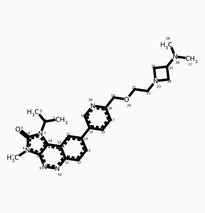 CC(C)n1c(=O)n(C)c2nnc3ccc(-c4ccc(COCCN5CC(N(C)C)C5)nc4)cc3c21